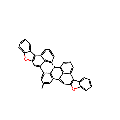 Cc1cc2c3c(c1)-c1cc4oc5ccccc5c4c4cccc(c14)B3c1cccc3c1c-2cc1oc2ccccc2c13